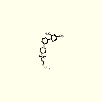 COCCS(=O)(=O)N1CCN(c2cc(-c3ncc(C)cc3C)ccn2)CC1